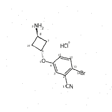 Cl.N#Cc1cc(O[C@H]2C[C@H](N)C2)ccc1Br